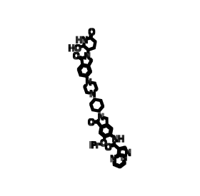 CC(C)Oc1cc2c(cc1NC(=O)c1cnn3cccnc13)CN([C@H]1CC[C@@H](N3CCN(c4ccc5c(c4)CN(C4CCC(=O)NC4O)C5=O)CC3)CC1)C2=O